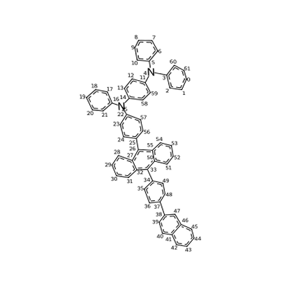 c1ccc(N(c2ccccc2)c2ccc(N(c3ccccc3)c3ccc(-c4c5ccccc5c(-c5ccc(-c6ccc7ccccc7c6)cc5)c5ccccc45)cc3)cc2)cc1